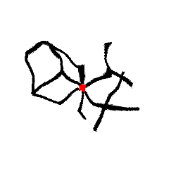 CC(C)C(C)C1C2CC1CN(C(C)(C)C)C2